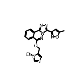 CCn1cncc1COc1nn2c(-c3cc(C)on3)nnc2c2ccccc12